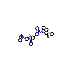 C[Si]1(C)c2ccccc2-c2c1cc1cc(-n3c4ccccc4c4cc(-c5ccc6c(c5)Oc5cc(-c7nccc8ccccc78)ccc5N6c5ccccc5)ccc43)c3cccc4ccc2c1c43